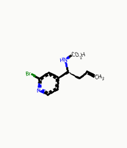 C=CC[C@H](NC(=O)O)c1ccnc(Br)c1